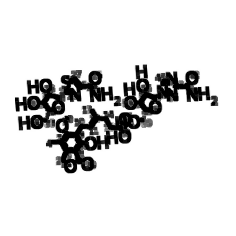 COc1c(C)c2c(c(O)c1C/C=C(\C)CCC(=O)O)C(=O)OC2.NC(=O)c1csc([C@@H]2O[C@H](CO)[C@@H](O)[C@H]2O)n1.NC(=O)c1ncn([C@@H]2O[C@H](CO)[C@@H](O)[C@H]2O)n1